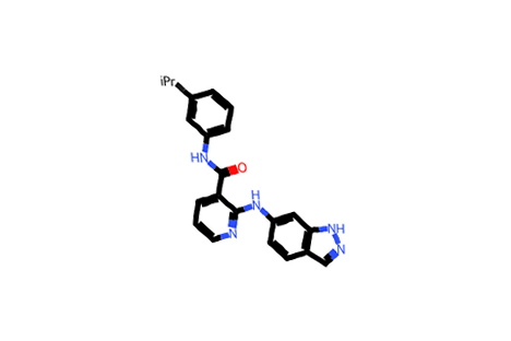 CC(C)c1cccc(NC(=O)c2cccnc2Nc2ccc3cn[nH]c3c2)c1